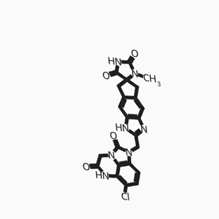 CN1C(=O)NC(=O)C12Cc1cc3nc(Cn4c(=O)n5c6c(c(Cl)ccc64)NC(=O)C5)[nH]c3cc1C2